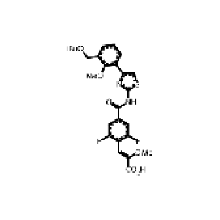 CO/C(=C\c1c(F)cc(C(=O)Nc2nc(-c3cccc(COCC(C)C)c3OC)cs2)cc1F)C(=O)O